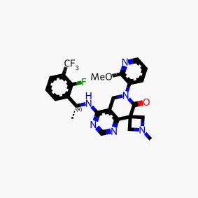 COc1ncccc1N1Cc2c(N[C@H](C)c3cccc(C(F)(F)F)c3F)ncnc2C2(CN(C)C2)C1=O